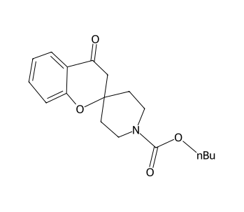 CCCCOC(=O)N1CCC2(CC1)CC(=O)c1ccccc1O2